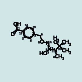 CN(/[N+](O)=N/OCc1ccc(C(=O)O)cc1)C(C)(C)C